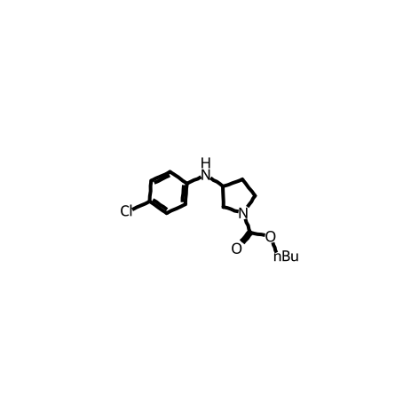 CCCCOC(=O)N1CCC(Nc2ccc(Cl)cc2)C1